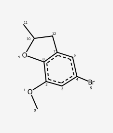 COc1cc(Br)cc2c1OC(C)C2